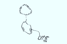 COCC1=CC=CC(c2ccccc2)C1